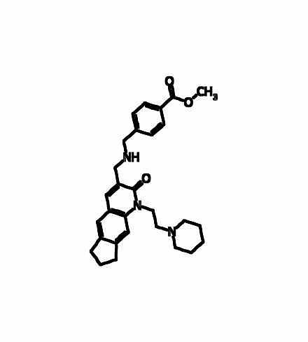 COC(=O)c1ccc(CNCc2cc3cc4c(cc3n(CCN3CCCCC3)c2=O)CCC4)cc1